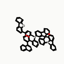 c1ccc(-c2cccc3ccccc23)c(-c2ccccc2N(c2ccc(-c3cccc4c3oc3ccccc34)cc2)c2ccc3c(c2)C2(c4ccccc4-3)c3ccccc3-n3c4ccccc4c4cccc2c43)c1